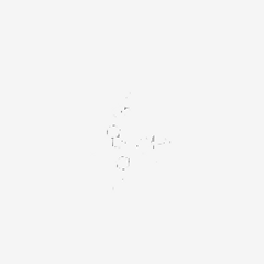 COc1ccc2c(c1)C(C)C(C)(C(=O)N1CC3=NCCC1C3)Cn1c-2c(C2CCCCC2)c2ccc(C(=O)NS(=O)(=O)C3CC3)cc21